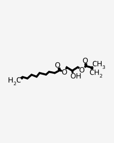 C=CCCCCCCCC(=O)OCC(O)COC(=O)C(=C)C